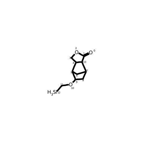 O=C1OCC2C3CC(CC3OC[SiH3])C12